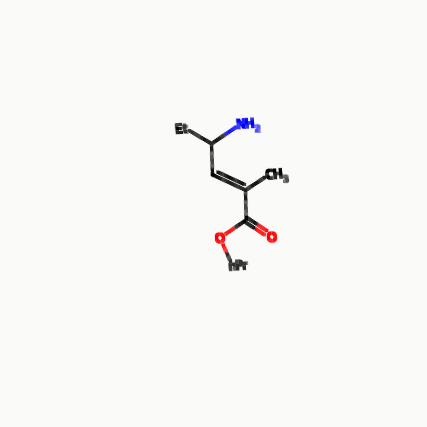 CCCOC(=O)C(C)=CC(N)CC